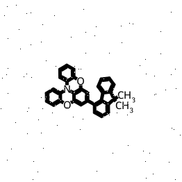 CC1(C)c2ccccc2-c2c(-c3cc4c5c(c3)Oc3ccccc3N5c3ccccc3O4)cccc21